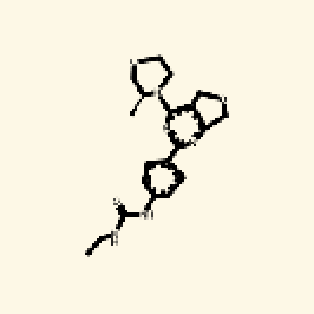 CCNC(=O)Nc1ccc(-c2nc3c(c(N4CCOC[C@@H]4C)n2)COC3)cc1